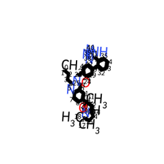 CCCCc1nc2ccc([C@@]3(C)C[C@H]4CCC(C)(C)N4O3)cc2c(=O)n1Cc1ccc(-c2ccccc2-c2nnn[nH]2)cc1